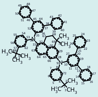 CC(C)(C)c1cccc(N(c2cc(-c3ccccc3)cc(-c3ccccc3)c2)c2cc3c4c(c(N(c5cc(-c6ccccc6)cc(-c6ccccc6)c5)c5cccc(C(C)(C)C)c5)ccc4c2)CCC3(C)C)c1